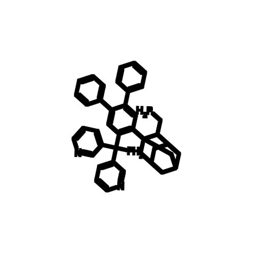 PCC1C2CC3CC(C2)CC1(c1cc(-c2ccccc2)c(-c2ccccc2)cc1C(P)(c1cccnc1)c1cccnc1)C3